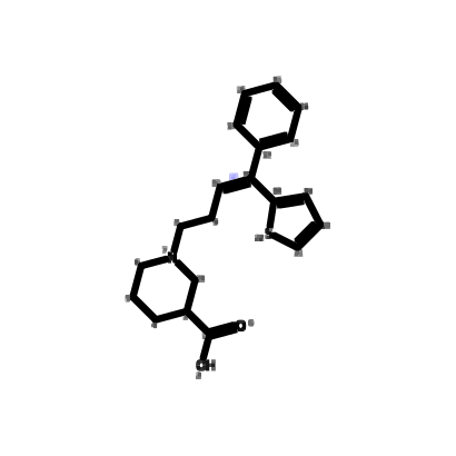 O=C(O)C1CCCN(CC/C=C(/c2ccccc2)c2cccs2)C1